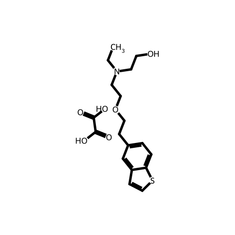 CCN(CCO)CCOCCc1ccc2sccc2c1.O=C(O)C(=O)O